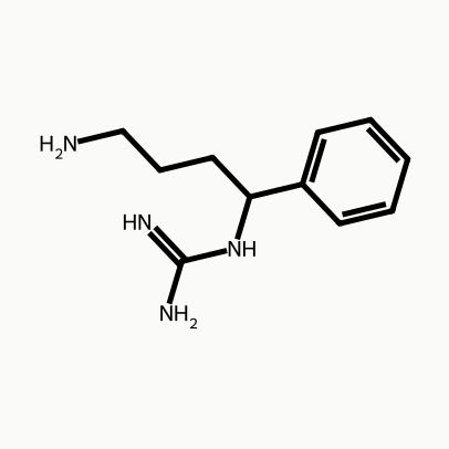 N=C(N)NC(CCCN)c1ccccc1